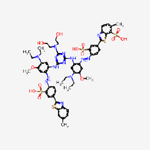 CCN(CC)c1cc(Nc2nc(Nc3cc(N(CC)CC)c(OC)cc3/N=N/c3ccc(-c4nc5ccc(C)c(S(=O)(=O)O)c5s4)cc3S(=O)(=O)O)nc(N(CCO)CCO)n2)c(/N=N/c2ccc(-c3nc4ccc(C)cc4s3)cc2S(=O)(=O)O)cc1OC